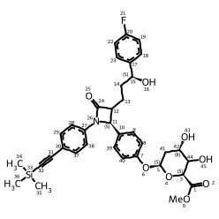 COC(=O)[C@H]1O[C@@H](Oc2ccc([C@@H]3C(CC[C@H](O)c4ccc(F)cc4)C(=O)N3c3ccc(C#C[Si](C)(C)C)cc3)cc2)C[C@@H](O)C1O